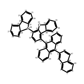 c1ccc2cc(-c3c4ccccc4c(-c4ccc(-n5c6ccccc6c6ccccc65)c5oc6ccccc6c45)c4ccccc34)ccc2c1